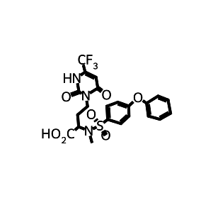 CN(C(CCn1c(=O)cc(C(F)(F)F)[nH]c1=O)C(=O)O)S(=O)(=O)c1ccc(Oc2ccccc2)cc1